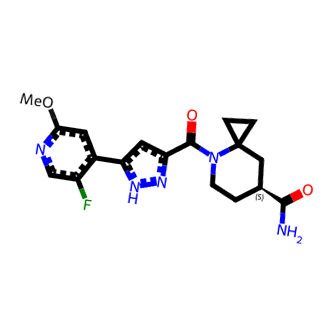 COc1cc(-c2cc(C(=O)N3CC[C@H](C(N)=O)CC34CC4)n[nH]2)c(F)cn1